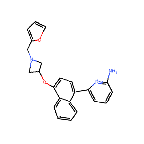 Nc1cccc(-c2ccc(OC3CN(Cc4ccco4)C3)c3ccccc23)n1